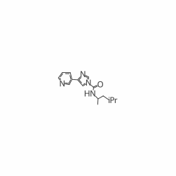 CC(C)CC(C)NC(=O)n1cnc(-c2cccnc2)c1